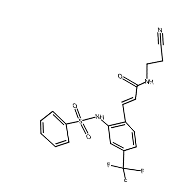 N#CCCNC(=O)C=Cc1ccc(C(F)(F)F)cc1NS(=O)(=O)c1ccccc1